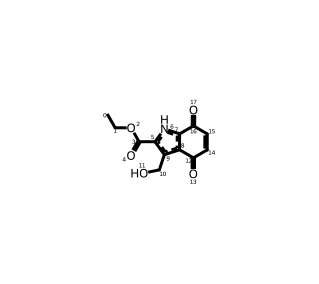 CCOC(=O)c1[nH]c2c(c1CO)C(=O)C=CC2=O